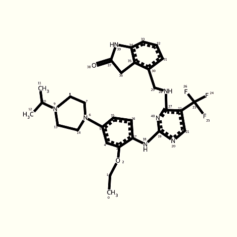 CCOc1cc(N2CCN(C(C)C)CC2)ccc1Nc1ncc(C(F)(F)F)c(NCc2cccc3c2CC(=O)N3)n1